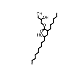 CCCCCCCCCC(O)CC(CCCCCC)C(=O)OCC(O)CO